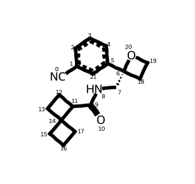 N#Cc1cccc([C@]2(CNC(=O)C3CCC34CCC4)CCO2)c1